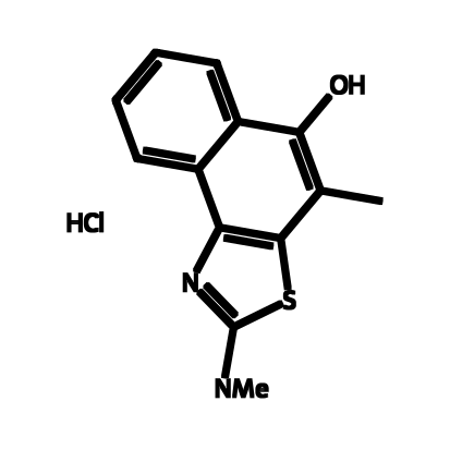 CNc1nc2c(s1)c(C)c(O)c1ccccc12.Cl